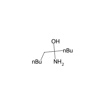 CCCCCC(N)(O)CCCC